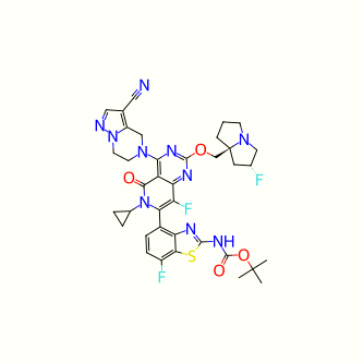 CC(C)(C)OC(=O)Nc1nc2c(-c3c(F)c4nc(OC[C@@]56CCCN5C[C@H](F)C6)nc(N5CCn6ncc(C#N)c6C5)c4c(=O)n3C3CC3)ccc(F)c2s1